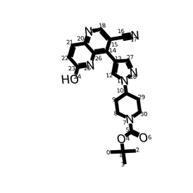 CC(C)(C)OC(=O)N1CCC(n2cc(-c3c(C#N)cnc4ccc(O)nc34)cn2)CC1